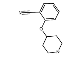 N#Cc1ccccc1OC1CC[N]CC1